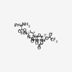 CC(C)[C@@H](N)C(=O)ONc1ccn([C@@H]2O[C@H](COC(=O)C(F)(F)F)[C@H]3OC(=O)O[C@H]32)c(=O)n1